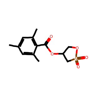 Cc1cc(C)c(C(=O)OC2COS(=O)(=O)C2)c(C)c1